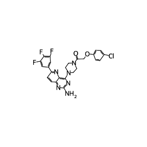 Nc1nc(N2CCN(C(=O)COc3ccc(Cl)cc3)CC2)c2nc(-c3cc(F)c(F)c(F)c3)ccc2n1